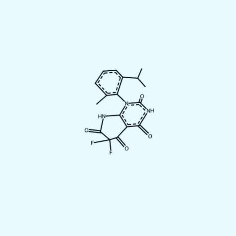 Cc1cccc(C(C)C)c1-n1c2c(c(=O)[nH]c1=O)C(=O)C(F)(F)C(=O)N2